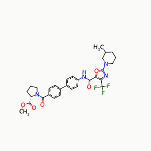 COC(=O)[C@@H]1CCCN1C(=O)c1ccc(-c2ccc(NC(=O)c3oc(N4CCCC(C)C4)nc3C(F)(F)F)cc2)cc1